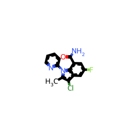 Cc1c(Cl)c2cc(F)cc(C(N)=O)c2n1-c1ccccn1